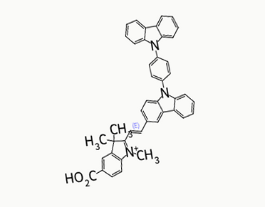 C[N+]1=C(/C=C/c2ccc3c(c2)c2ccccc2n3-c2ccc(-n3c4ccccc4c4ccccc43)cc2)C(C)(C)c2cc(C(=O)O)ccc21